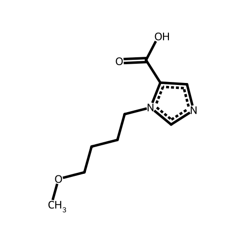 COCCCCn1cncc1C(=O)O